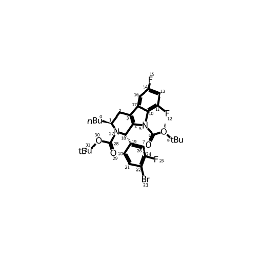 CCCC[C@H]1Cc2c(n(C(=O)OC(C)(C)C)c3c(F)cc(F)cc23)[C@H](c2ccc(Br)c(F)c2)N1C(=O)OC(C)(C)C